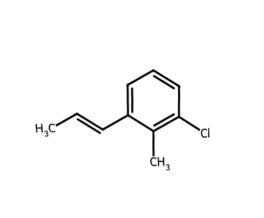 C/C=C/c1cccc(Cl)c1C